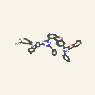 C=C/C=C(\C=C/C)n1c2ccccc2c2cc(-c3nc(-c4ccccc4)nc(-c4cccc5oc6cc(-c7nc(-c8ccccc8)nc8c7oc7ccccc78)ccc6c45)n3)ccc21